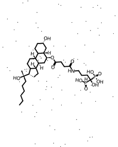 CCCCCC[C@](C)(O)[C@H]1CC[C@H]2[C@@H]3C[C@H](OC(=O)CCC(=O)NCCCC(O)([PH](=O)O)P(=O)(O)O)[C@H]4C[C@@H](O)CC[C@]4(C)[C@H]3CC[C@@]21C